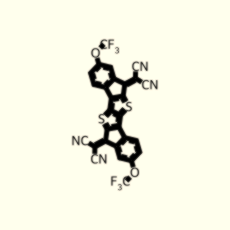 N#CC(C#N)=C1c2cc(OC(F)(F)F)ccc2-c2c1sc1c3c(sc21)C(=C(C#N)C#N)c1cc(OC(F)(F)F)ccc1-3